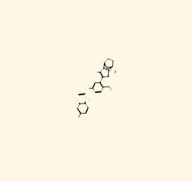 CCc1ccc(Oc2cnc3cc(Cl)ccc3n2)cc1C1=C(O)C2[C@H]3CC[C@H](C3)[C@H]2C1=O